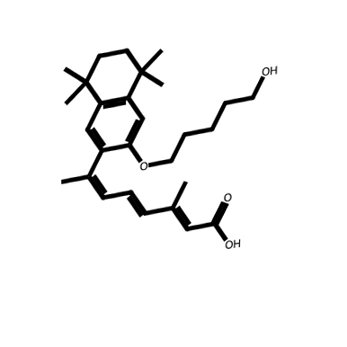 C/C(=C/C=C/C(C)=C/C(=O)O)c1cc2c(cc1OCCCCCO)C(C)(C)CCC2(C)C